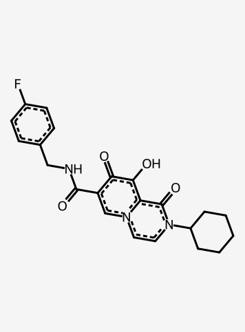 O=C(NCc1ccc(F)cc1)c1cn2ccn(C3CCCCC3)c(=O)c2c(O)c1=O